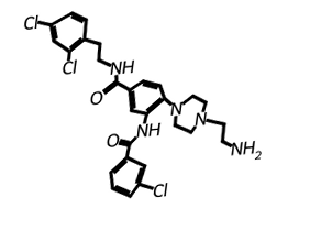 NCCN1CCN(c2ccc(C(=O)NCCc3ccc(Cl)cc3Cl)cc2NC(=O)c2cccc(Cl)c2)CC1